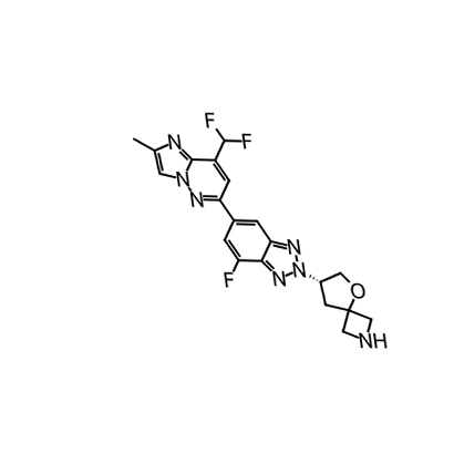 Cc1cn2nc(-c3cc(F)c4nn([C@@H]5COC6(CNC6)C5)nc4c3)cc(C(F)F)c2n1